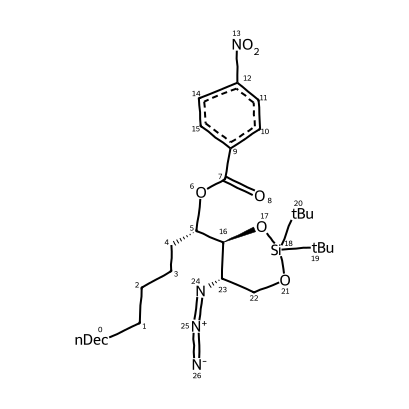 CCCCCCCCCCCCCC[C@H](OC(=O)c1ccc([N+](=O)[O-])cc1)[C@H]1O[Si](C(C)(C)C)(C(C)(C)C)OC[C@@H]1N=[N+]=[N-]